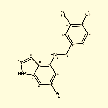 Oc1ccc(CNc2cc(Br)cc3[nH]ncc23)cc1Cl